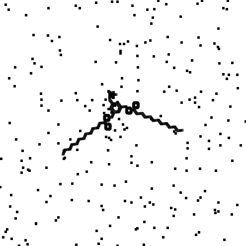 CCCCCCCCCCCCC(=O)OCc1cc(COC(=O)CCCCCCCCCCCC)cc(CN(C)C)c1